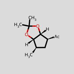 CC(=O)[C@H]1C[C@@H](C)[C@@H]2OC(C)(C)O[C@@H]21